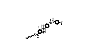 CCCCCCOC(=O)c1cc(F)c(NNc2ccc(NCNc3ccc(N(C)C)cc3)cc2)c(F)c1